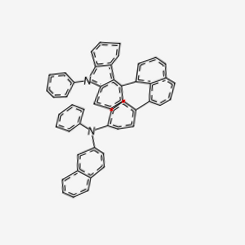 c1ccc(N(c2ccc(-c3cccc4cccc(-c5cccc6c5c5ccccc5n6-c5ccccc5)c34)cc2)c2ccc3ccccc3c2)cc1